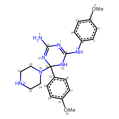 COc1ccc(NC2=NC(N)=NC(c3ccc(OC)cc3)(N3CCNCC3)N2)cc1